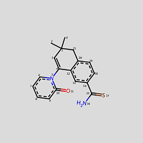 CC1(C)C=C(n2ccccc2=O)c2cc(C(N)=S)ccc2C1